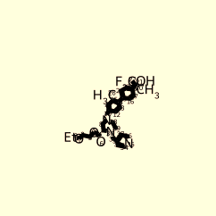 CCOCCOC(=O)[C@@H]1CN(Cc2ccc(-c3ccc(C(C)(O)C(F)(F)F)cc3)c(C)c2)CCN1Cc1ccncc1